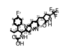 CCC(c1ccc(F)cc1)C(NC(=O)O)c1cn2ncc(CC3C[C@@H](C(F)(F)F)NC3=O)cc2n1